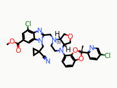 COC(=O)c1cc(Cl)c2nc(CN3CCN(c4cccc5c4O[C@](C)(c4ccc(Cl)cn4)O5)[C@H]4COC[C@H]43)n(CC3(C#N)CC3)c2c1